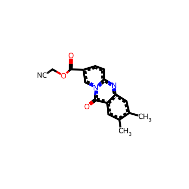 Cc1cc2nc3ccc(C(=O)OCC#N)cn3c(=O)c2cc1C